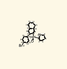 O=[PH](c1ccccn1)c1cc2ccccc2cc1-c1ccc(Br)cc1